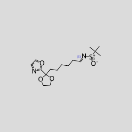 CC(C)(C)[S@@+]([O-])/N=C/CCCCCC1(c2ncco2)OCCO1